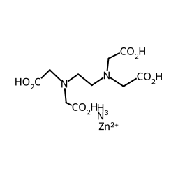 N.O=C(O)CN(CCN(CC(=O)O)CC(=O)O)CC(=O)O.[Zn+2]